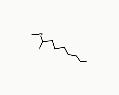 CCCCCCCC(I)PC